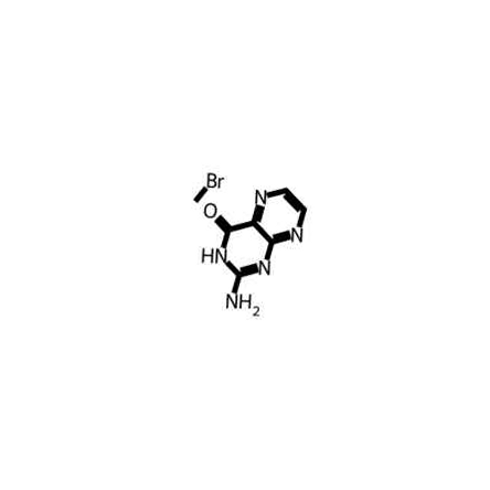 CBr.Nc1nc2nccnc2c(=O)[nH]1